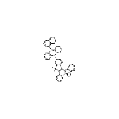 CC1(C)c2cc(-c3c4ccccc4c(-c4cccc5ccccc45)c4ccccc34)ccc2-c2c1c1ccccc1c1oc3ccccc3c21